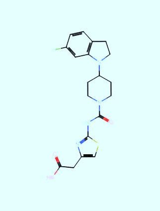 O=C(O)Cc1csc(NC(=O)N2CCC(N3CCc4ccc(F)cc43)CC2)n1